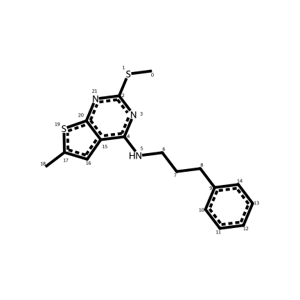 CSc1nc(NCCCc2ccccc2)c2cc(C)sc2n1